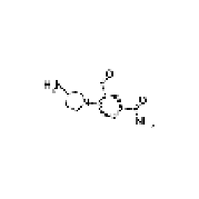 NC(=O)c1ccc(N2CCC(N)C2)c(C=O)c1